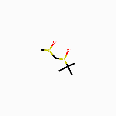 C[S+]([O-])C[S+]([O-])C(C)(C)C